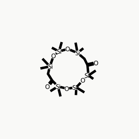 C[Si]1(C)CC(=O)[Si](C)(C)O[Si](C)(C)O[Si](C)(C)C(=O)C[Si](C)(C)O[Si](C)(C)O1